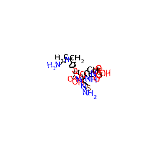 C=C(c1ccc(OC[C@H](O/N=C(\C(=O)N[C@@H]2C(=O)N(OS(=O)(=O)O)C2(C)C)c2csc(N)n2)C(=O)O)cc1)N(C)CCCN